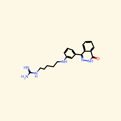 N=C(N)NCCCCCNc1cccc(-c2n[nH]c(=O)c3ccccc23)c1